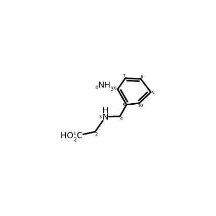 N.O=C(O)CNCc1ccccc1